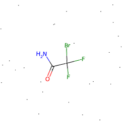 NC(=O)C(F)(F)Br